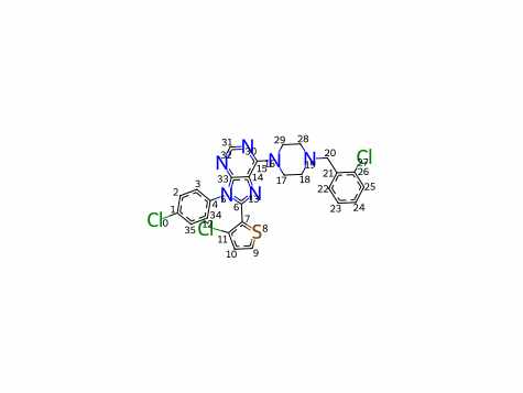 Clc1ccc(-n2c(-c3sccc3Cl)nc3c(N4CCN(Cc5ccccc5Cl)CC4)ncnc32)cc1